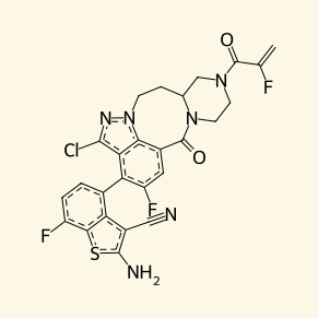 C=C(F)C(=O)N1CCN2C(=O)c3cc(F)c(-c4ccc(F)c5sc(N)c(C#N)c45)c4c(Cl)nn(c34)CCC2C1